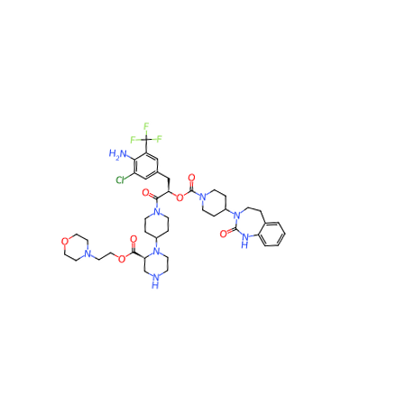 Nc1c(Cl)cc(C[C@@H](OC(=O)N2CCC(N3CCc4ccccc4NC3=O)CC2)C(=O)N2CCC(N3CCNC[C@H]3C(=O)OCCN3CCOCC3)CC2)cc1C(F)(F)F